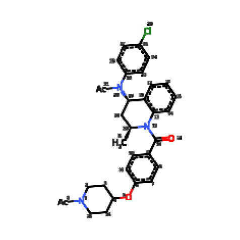 CC(=O)N1CCC(Oc2ccc(C(=O)N3c4ccccc4[C@H](N(C(C)=O)c4ccc(Cl)cc4)C[C@@H]3C)cc2)CC1